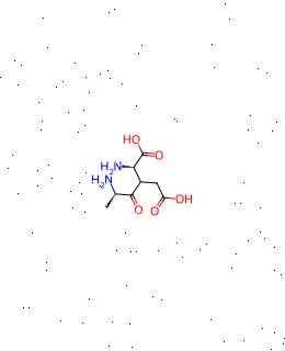 C[C@@H](N)C(=O)C(CC(=O)O)[C@@H](N)C(=O)O